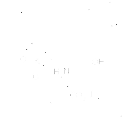 Cc1ccc2c(c1)S2(=O)=O.NC(CO)C(=O)O